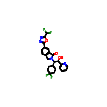 O=C1c2cc(-c3nnc(C(F)F)o3)ccc2CN1[C@H](C1CCC(F)(F)CC1)[C@@H](O)c1ccccn1